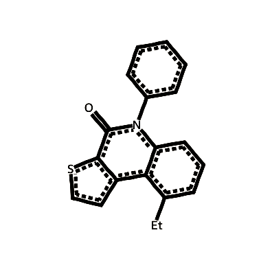 CCc1cccc2c1c1ccsc1c(=O)n2-c1ccccc1